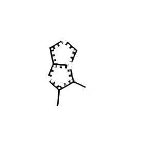 Cc1sc2cncn2c1C=O